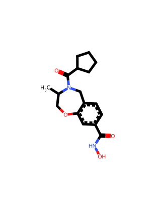 CC1COc2cc(C(=O)NO)ccc2CN1C(=O)C1CCCC1